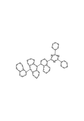 c1ccc(-c2nc(-c3ccccc3)nc(-c3ccc(-c4c5ccccc5c(-c5cccc6ccccc56)c5ccccc45)c4ccccc34)n2)cc1